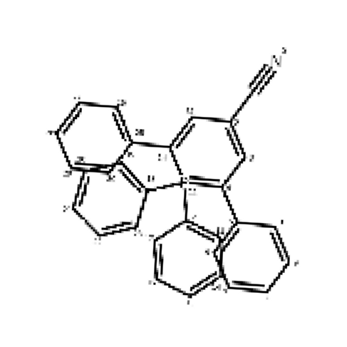 N#CC1=CC(c2ccccc2)=P(c2ccccc2)(c2ccccc2)C(c2ccccc2)=C1